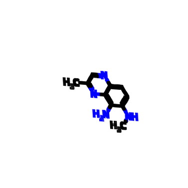 CNc1ccc2ncc(C)nc2c1N